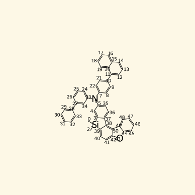 C[Si]1(C)c2cc(N(c3ccc(-c4cccc5ccccc45)cc3)c3cccc(-c4ccccc4)c3)ccc2-c2c1ccc1oc3ccccc3c21